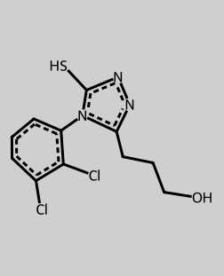 OCCCc1nnc(S)n1-c1cccc(Cl)c1Cl